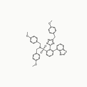 COc1ccc(CN(Cc2ccc(OC)cc2)S(=O)(=O)c2cccc(-c3cccc4scnc34)c2-c2nnn(Cc3ccc(OC)cc3)n2)cc1